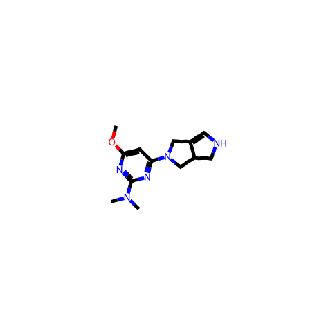 COc1cc(N2CC3=CNCC3C2)nc(N(C)C)n1